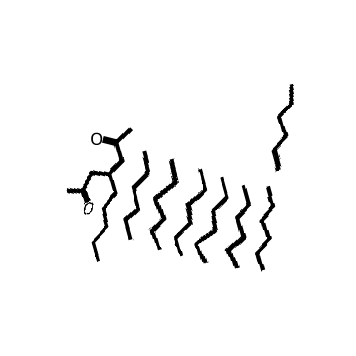 CCCCCC.CCCCCC.CCCCCC.CCCCCC.CCCCCC.CCCCCC.CCCCCC.CCCCCC(CC(C)=O)CC(C)=O